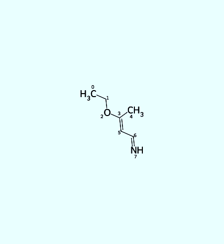 CCO/C(C)=C/C=N